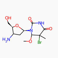 COC1N([C@H]2CC(N)[C@@H](CO)O2)C(=O)NC(=O)C1(C)Br